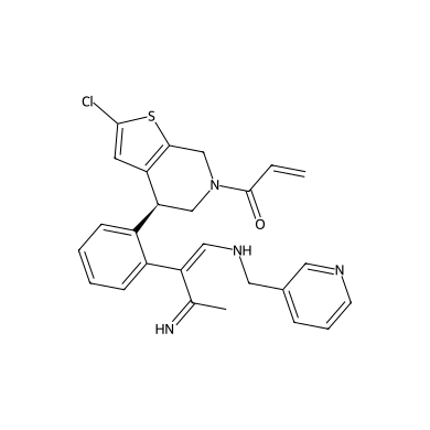 C=CC(=O)N1Cc2sc(Cl)cc2[C@H](c2ccccc2/C(=C/NCc2cccnc2)C(C)=N)C1